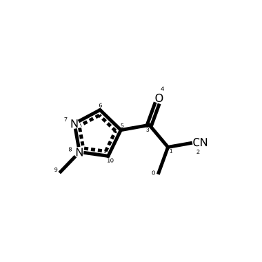 CC(C#N)C(=O)c1cnn(C)c1